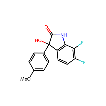 COc1ccc(C2(O)C(=O)Nc3c2ccc(F)c3F)cc1